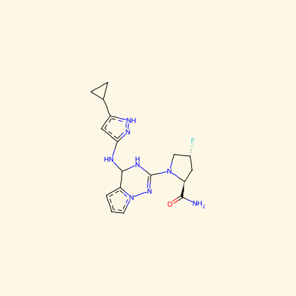 NC(=O)[C@@H]1C[C@@H](F)CN1C1=Nn2cccc2C(Nc2cc(C3CC3)[nH]n2)N1